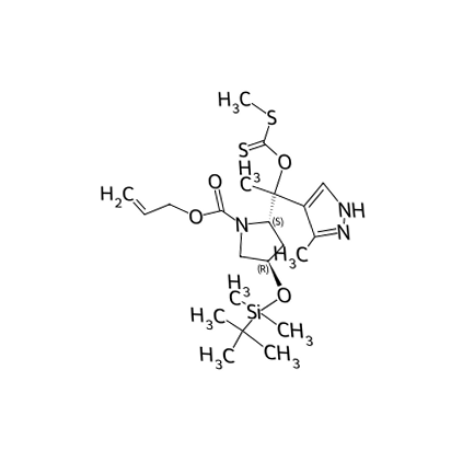 C=CCOC(=O)N1C[C@H](O[Si](C)(C)C(C)(C)C)C[C@H]1C(C)(OC(=S)SC)c1c[nH]nc1C